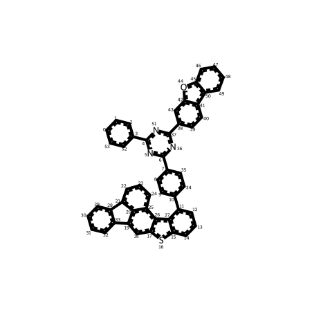 c1ccc(-c2nc(-c3ccc(-c4cccc5sc6cc7c8c(cccc8c6c45)-c4ccccc4-7)cc3)nc(-c3ccc4c(c3)oc3ccccc34)n2)cc1